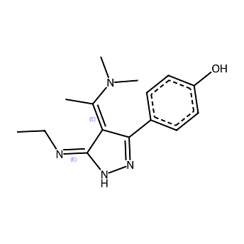 CC/N=C1/NN=C(c2ccc(O)cc2)/C1=C(/C)N(C)C